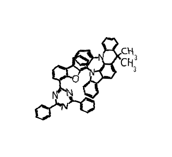 CC1(C)c2ccccc2N(c2ccccc2)c2c1ccc1c3ccccc3n(-c3cccc4c3oc3c(-c5nc(-c6ccccc6)nc(-c6ccccc6)n5)cccc34)c21